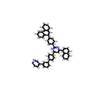 c1cncc(-c2cccc(-c3ccc(-c4cc(-c5cccc6ccccc56)nc(-c5ccc(-c6cc7ccccc7c7ccccc67)cc5)n4)cc3)c2)c1